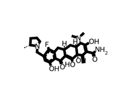 C=C1C(C(N)=O)=C(O)[C@@H](N(C)C)[C@@H]2C[C@@H]3Cc4c(F)c(CN5CCC[C@H]5C)cc(O)c4C(=O)C3=C(O)[C@]12O